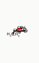 CC(C)=CCCC(C)CCSC(CCC(=O)OCCCCCCBr)SCCC(C)CCC=C(C)C